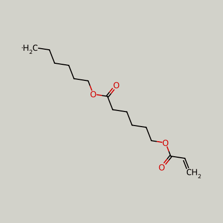 [CH2]CCCCCOC(=O)CCCCCOC(=O)C=C